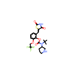 CC(C)(C)N(C(=O)Oc1c(C=C2SC(=O)NC2=O)cccc1OCC(F)(F)F)C1CCCNC1